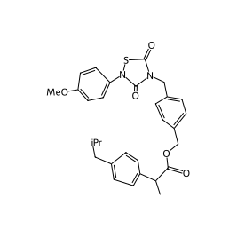 COc1ccc(-n2sc(=O)n(Cc3ccc(COC(=O)C(C)c4ccc(CC(C)C)cc4)cc3)c2=O)cc1